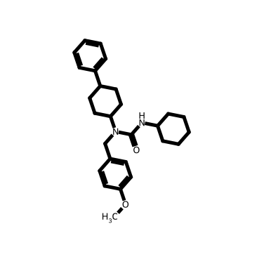 COc1ccc(CN(C(=O)NC2CCCCC2)C2CCC(c3ccccc3)CC2)cc1